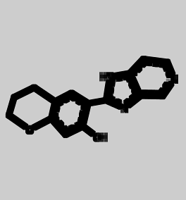 Oc1cc2c(cc1-c1nc3cnccc3[nH]1)CCCO2